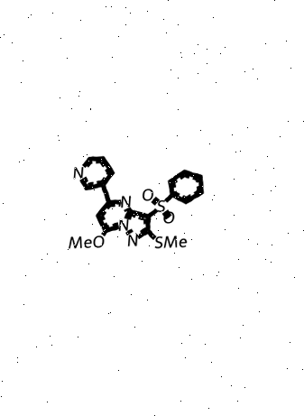 COc1cc(-c2cccnc2)nc2c(S(=O)(=O)c3ccccc3)c(SC)nn12